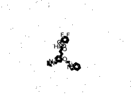 O=C(CCc1ccc(Cn2cccn2)cc1OCCn1ncc2ccccc21)NS(=O)(=O)c1ccc(F)c(F)c1